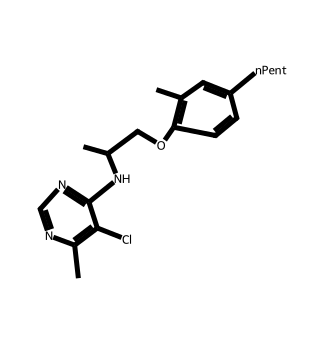 CCCCCc1ccc(OCC(C)Nc2ncnc(C)c2Cl)c(C)c1